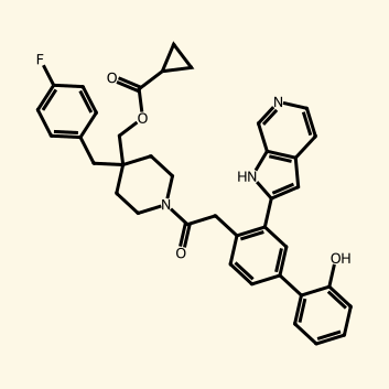 O=C(OCC1(Cc2ccc(F)cc2)CCN(C(=O)Cc2ccc(-c3ccccc3O)cc2-c2cc3ccncc3[nH]2)CC1)C1CC1